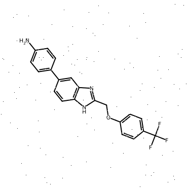 Nc1ccc(-c2ccc3[nH]c(COc4ccc(C(F)(F)F)cc4)nc3c2)cc1